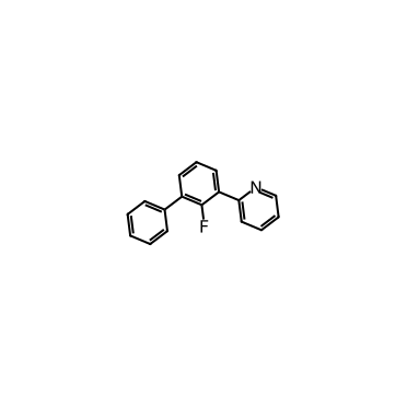 Fc1c(-c2ccccc2)cccc1-c1ccccn1